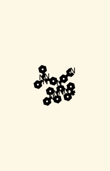 CC1(C)c2ccccc2N(c2cc(N(c3ccc(-c4ccncc4)cc3)c3ccc(-c4nc(-c5ccccc5)nc(-c5ccccc5)n4)cc3)cc(N3c4ccccc4N(c4ccccc4)c4ccccc43)n2)c2ccccc21